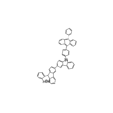 CCCCc1ccccc1C1c2ccccc2-c2cc(-c3ccc4c(c3)c3ccccc3n4-c3ccc(-c4c5ccccc5c(-c5ccccc5)c5ccccc45)cc3)ccc21